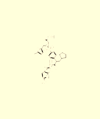 COc1ccc2nc(NC(=O)C(CC3CCCC3)c3ccc(S(=O)(=O)N(CC(=O)O)Cc4ccc(C)o4)cc3)sc2n1